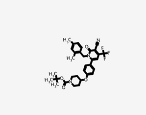 Cc1ccc(Cn2c(-c3ccc(OC4CCN(C(=O)OC(C)(C)C)CC4)cc3)cc(C(F)(F)F)c(C#N)c2=O)c(C)c1